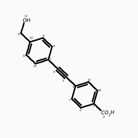 O=C(O)c1ccc(C#Cc2ccc(CO)cc2)cc1